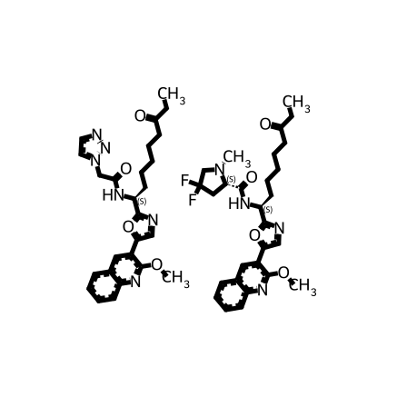 CCC(=O)CCCCC[C@H](NC(=O)Cn1ccnn1)c1ncc(-c2cc3ccccc3nc2OC)o1.CCC(=O)CCCCC[C@H](NC(=O)[C@@H]1CC(F)(F)CN1C)c1ncc(-c2cc3ccccc3nc2OC)o1